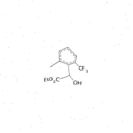 CCOC(=O)C(O)c1c(C)cccc1C(F)(F)F